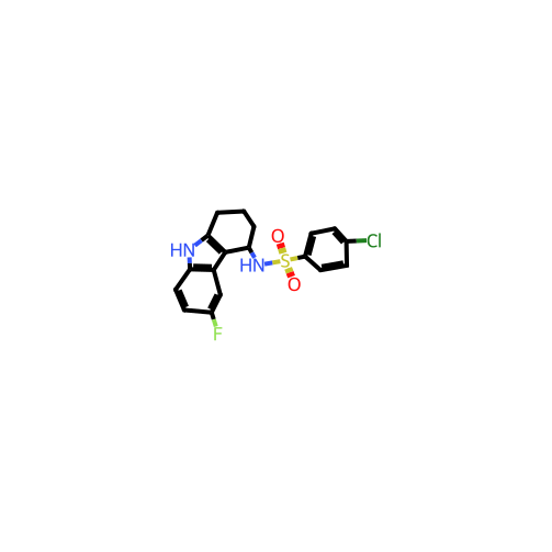 O=S(=O)(NC1CCCc2[nH]c3ccc(F)cc3c21)c1ccc(Cl)cc1